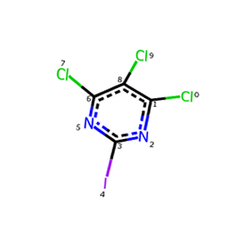 Clc1nc(I)nc(Cl)c1Cl